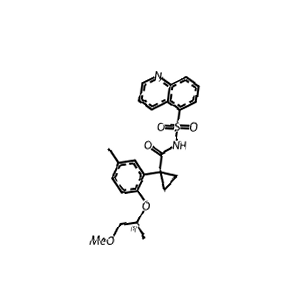 COC[C@H](C)Oc1ccc(C)cc1C1(C(=O)NS(=O)(=O)c2cccc3ncccc23)CC1